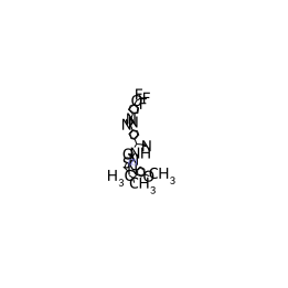 COc1ccc(N2CCS/C2=N\C(=O)NCC(C#N)c2ccc(-c3ncn(-c4ccc(OC(F)(F)F)cc4)n3)cc2)c(C(C)C)c1